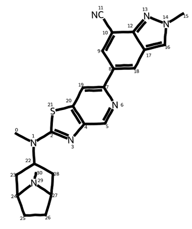 CN(c1nc2cnc(-c3cc(C#N)c4nn(C)cc4c3)cc2s1)C1CC2CCC(C1)N2C